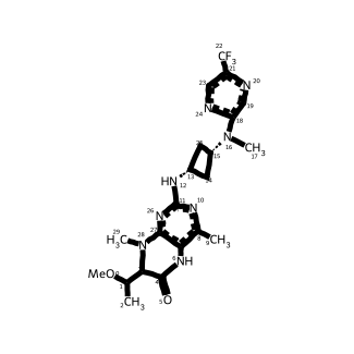 COC(C)C1C(=O)Nc2c(C)nc(N[C@H]3C[C@@H](N(C)c4cnc(C(F)(F)F)cn4)C3)nc2N1C